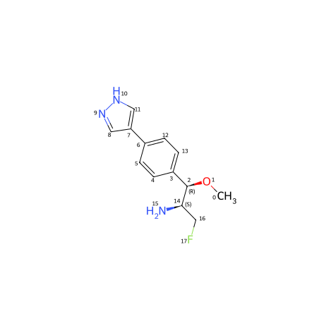 CO[C@H](c1ccc(-c2cn[nH]c2)cc1)[C@H](N)CF